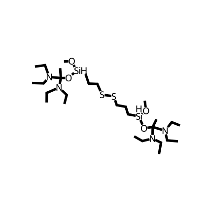 CCN(CC)C(C)(O[SiH](CCCSSCCC[SiH](OC)OC(C)(N(CC)CC)N(CC)CC)OC)N(CC)CC